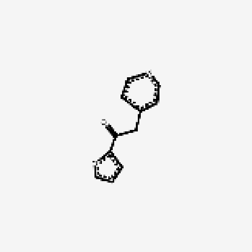 O=C(Cc1ccncc1)c1ccco1